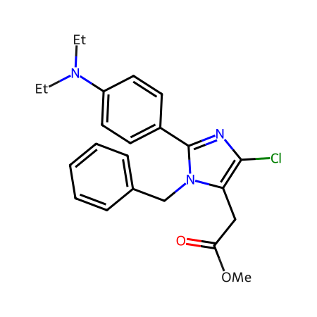 CCN(CC)c1ccc(-c2nc(Cl)c(CC(=O)OC)n2Cc2ccccc2)cc1